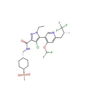 CCn1nc(C(=O)NC[C@H]2CC[C@H](S(C)(=O)=O)CC2)c(Cl)c1-c1cnc(C[C@@H](C)C(F)(F)F)cc1OC(F)F